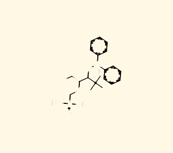 CC(C)(C)C(O[SiH](c1ccccc1)c1ccccc1)[C@H](CO)OCP(=O)(O)O